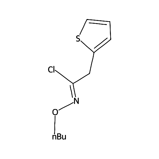 CCCCON=C(Cl)Cc1cccs1